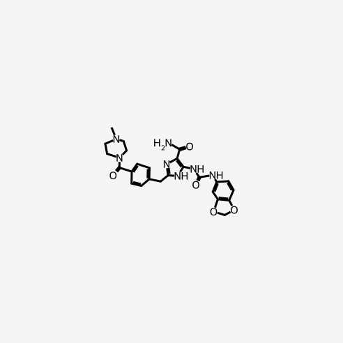 CN1CCN(C(=O)c2ccc(Cc3nc(C(N)=O)c(NC(=O)Nc4ccc5c(c4)OCO5)[nH]3)cc2)CC1